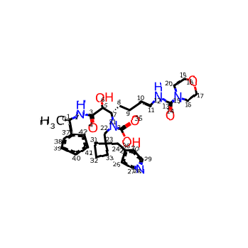 C[C@@H](NC(=O)C(O)[C@H](CCCCNC(=O)N1CCOCC1)N(CC1(Cc2ccncc2)CCC1)C(=O)O)c1ccccc1